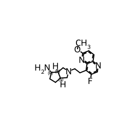 COc1ccc2ncc(F)c(CCN3C[C@H]4CC[C@@H](N)[C@H]4C3)c2n1